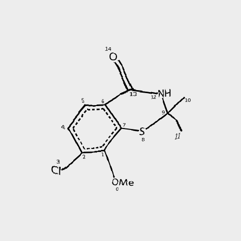 COc1c(Cl)ccc2c1SC(C)(C)NC2=O